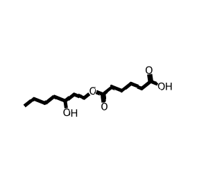 CCCCC(O)CCOC(=O)CCCCC(=O)O